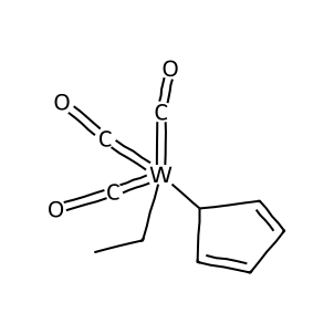 C[CH2][W](=[C]=O)(=[C]=O)(=[C]=O)[CH]1C=CC=C1